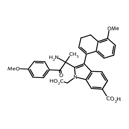 COc1ccc(C(=O)C(C)(N)c2c(C3=CCCc4c(OC)cccc43)c3ccc(C(=O)O)cc3n2CC(=O)O)cc1